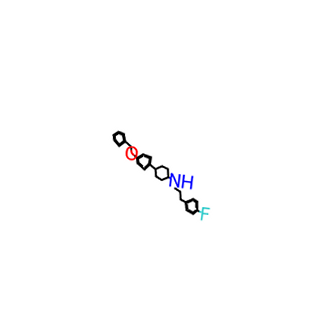 Fc1ccc(CCCNC2CCC(c3ccc(OCc4ccccc4)cc3)CC2)cc1